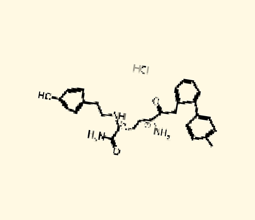 Cc1ccc(-c2ccccc2CC(=O)[C@H](N)CC[C@@H](NCCc2ccc(O)cc2)C(N)=O)cc1.Cl